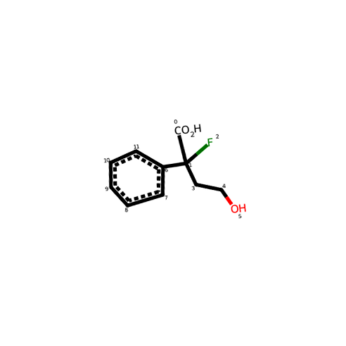 O=C(O)C(F)(CCO)c1ccccc1